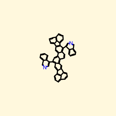 c1ccc2c(-c3cc4c5cc6c(c(-c7cncc8ccccc78)c5ccc4c4cc5c(cc34)-c3cccc4cccc-5c34)-c3cccc4cccc-6c34)cncc2c1